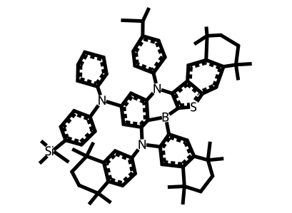 CC(C)c1ccc(N2c3cc(N(c4ccccc4)c4ccc([Si](C)(C)C)cc4)cc4c3B(c3cc5c(cc3N4c3ccc4c(c3)C(C)(C)CCC4(C)C)C(C)(C)CCC5(C)C)c3sc4cc5c(cc4c32)C(C)(C)CCC5(C)C)cc1